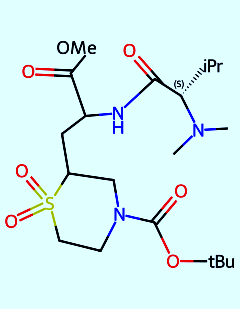 COC(=O)C(CC1CN(C(=O)OC(C)(C)C)CCS1(=O)=O)NC(=O)[C@H](C(C)C)N(C)C